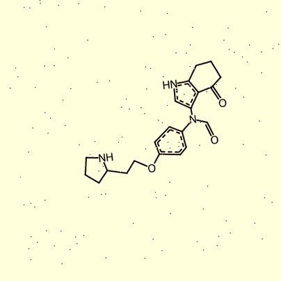 O=CN(c1ccc(OCCC2CCCN2)cc1)c1c[nH]c2c1C(=O)CCC2